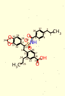 CCCc1ccc(C(=O)NS(=O)(=O)C(Cc2ccc(C(=O)O)cc2CCC)c2ccc3c(c2)OCO3)cc1